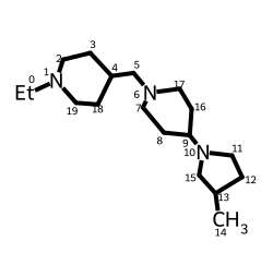 CCN1CCC(CN2CCC(N3CCC(C)C3)CC2)CC1